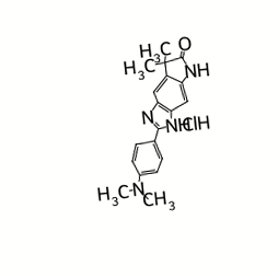 CN(C)c1ccc(-c2nc3cc4c(cc3[nH]2)NC(=O)C4(C)C)cc1.Cl